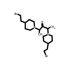 CC(C(=O)C(C)N1CCC(CCBr)CC1)N1CCC(CCBr)CC1